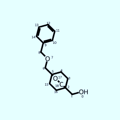 OCC12CCC(COCc3ccccc3)(CC1)OC2